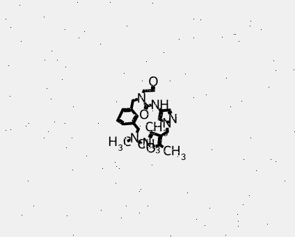 Cc1noc(C)c1Cn1cc(NC(=O)N(CC=O)Cc2cccc(CN(C)C)c2)cn1